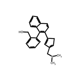 CN(C)CC1=CCC(c2ccc3ccccc3c2-c2ccccc2CO)=C1